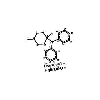 CC1CCC(C)(C(c2ccccc2)c2ccccc2)CC1.N=C=O.N=C=O